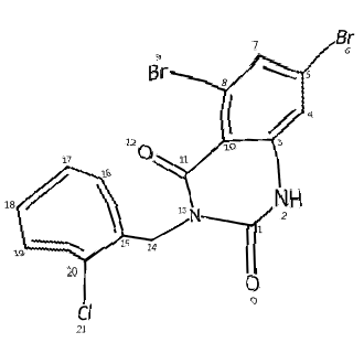 O=c1[nH]c2cc(Br)cc(Br)c2c(=O)n1Cc1ccccc1Cl